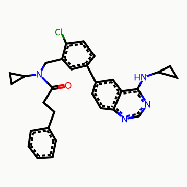 O=C(CCc1ccccc1)N(Cc1cc(-c2ccc3ncnc(NC4CC4)c3c2)ccc1Cl)C1CC1